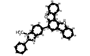 Cn1c(-c2ccccc2)nc2cc(-c3cc4c5ccccc5oc4c4c3oc3ccccc34)ccc21